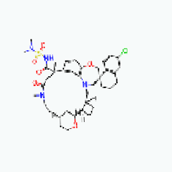 CN1CC[C@@H]2CCO[C@@H](C2)[C@@H]2CC[C@H]2CN2C[C@@]3(CCCc4cc(Cl)ccc43)COc3ccc(cc32)[C@@](C)(C(=O)NS(=O)(=O)N(C)C)CC1=O